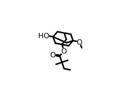 CCC(C)(C)C(=O)OC12CC3CC(O)(CC(OC)(C3)C1)C2